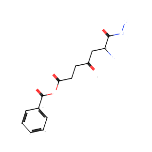 NNC(=O)C(N)CC(=O)CCC(=O)OC(=O)c1ccccc1